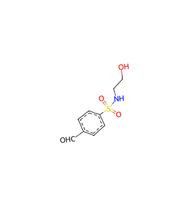 O=Cc1ccc(S(=O)(=O)NCCO)cc1